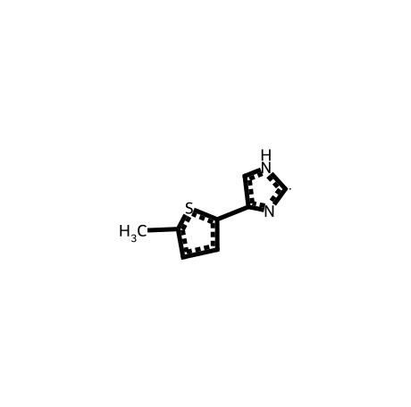 Cc1ccc(-c2c[nH][c]n2)s1